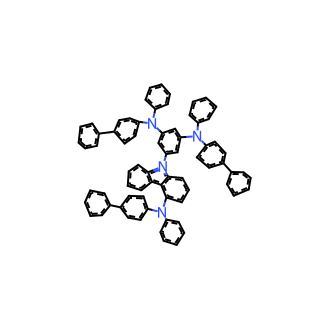 c1ccc(-c2ccc(N(c3ccccc3)c3cc(N(c4ccccc4)c4ccc(-c5ccccc5)cc4)cc(-n4c5ccccc5c5c(N(c6ccccc6)c6ccc(-c7ccccc7)cc6)cccc54)c3)cc2)cc1